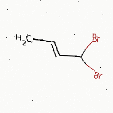 [CH2]/C=C/C(Br)Br